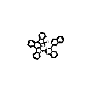 CC1(C)c2ccccc2-c2c1c1c(c3ccccc23)c2ccccc2n1-c1nc(-c2ccc3ccccc3c2)c2ccccc2n1